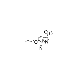 CCCCOc1ccc2c(C(=O)OC)cnn2c1C#N